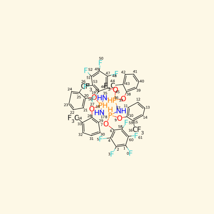 Fc1c(F)c(F)c(O[PH]2(Oc3ccccc3C(F)(F)F)N[PH](Oc3ccccc3C(F)(F)F)(Oc3ccccc3C(F)(F)F)N[PH](Oc3ccccc3C(F)(F)F)(Oc3c(F)c(F)c(F)c(F)c3F)N2)c(F)c1F